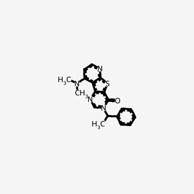 CC(c1ccccc1)n1cnc2c(sc3nccc(N(C)C)c32)c1=O